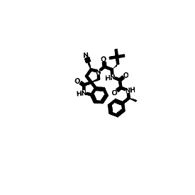 C[C@H](NC(=O)C(=O)N[C@@H](CC(C)(C)C)C(=O)N1C[C@]2(C[C@H]1C#N)C(=O)Nc1ccccc12)c1ccccc1